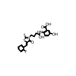 O=C(O)c1cc(O)ccc1NC(O)CCCN1C(=O)/C(=C/c2ccccc2F)SC1=S